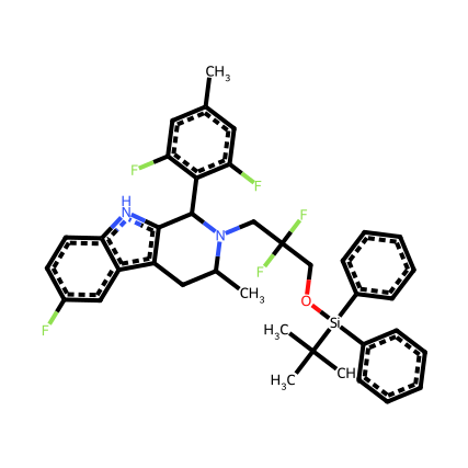 Cc1cc(F)c(C2c3[nH]c4ccc(F)cc4c3CC(C)N2CC(F)(F)CO[Si](c2ccccc2)(c2ccccc2)C(C)(C)C)c(F)c1